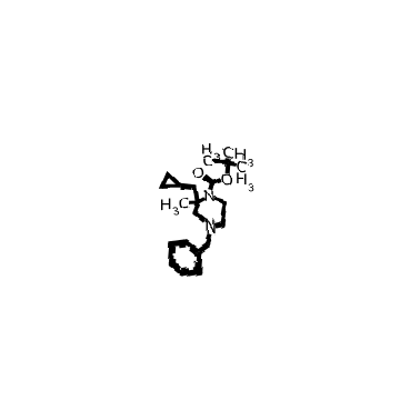 CC(C)(C)OC(=O)N1CCN(Cc2ccccc2)CC1(C)C=C1CC1